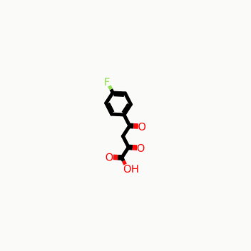 O=C(O)C(=O)CC(=O)c1ccc(F)cc1